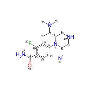 CN(C)CCc1c(N2CCNCC2)ccc(C(N)=O)c1F.[N]